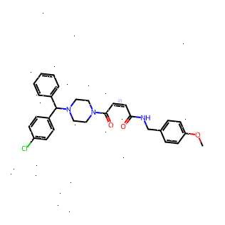 COc1ccc(CNC(=O)/C=C\C(=O)N2CCN(C(c3ccccc3)c3ccc(Cl)cc3)CC2)cc1